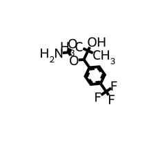 CC(C)(O)C(OC(N)=O)c1ccc(C(F)(F)F)cc1